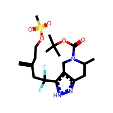 C=C(CCOS(C)(=O)=O)CC(F)(F)c1[nH]nc2c1CN(C(=O)OC(C)(C)C)C(C)C2